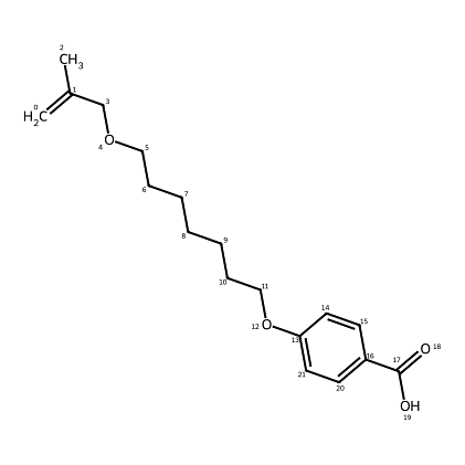 C=C(C)COCCCCCCCOc1ccc(C(=O)O)cc1